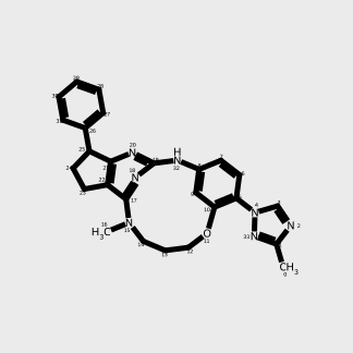 Cc1ncn(-c2ccc3cc2OCCCN(C)c2nc(nc4c2CCC4c2ccccc2)N3)n1